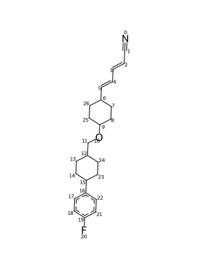 N#CC=CC=CC1CCC(OCC2CCC(c3ccc(F)cc3)CC2)CC1